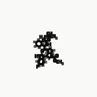 COC(=O)N1CC(c2c[nH]c3cc(F)ccc23)C2C1=CCN2C(=O)C(NC(=O)OC(C)(C)C)C1CCCCC1